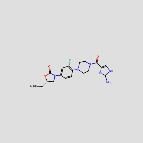 CC(=O)NC[C@H]1CN(c2ccc(N3CCN(C(=O)C4=CNC(N)N4)CC3)c(F)c2)C(=O)O1